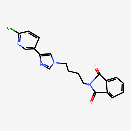 O=C1c2ccccc2C(=O)N1CCCCn1cnc(-c2ccc(Cl)nc2)c1